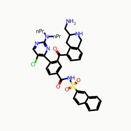 CCCN(CCC)c1ncc(Cl)c(-c2ccc(C(=O)NS(=O)(=O)c3ccc4ccccc4c3)cc2C(=O)c2cccc3c2CC(CN)NC3)n1